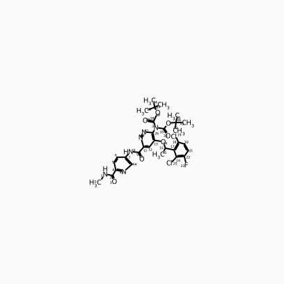 CNC(=O)c1ccc(NC(=O)c2cc(OC(C)c3c(Cl)ccc(F)c3Cl)c(N(C(=O)OC(C)(C)C)C(=O)OC(C)(C)C)nn2)cn1